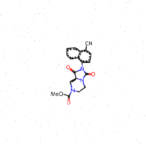 COC(=O)N1C=C2C(=O)N(c3ccc(C#N)c4ccccc34)C(=O)N2CC1